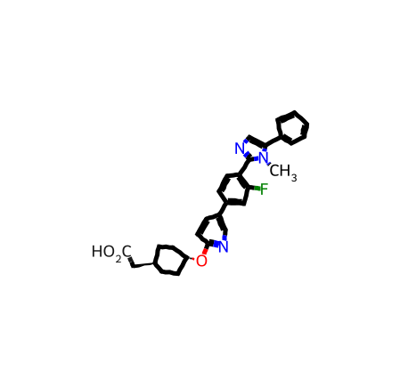 Cn1c(-c2ccccc2)cnc1-c1ccc(-c2ccc(O[C@H]3CC[C@H](CC(=O)O)CC3)nc2)cc1F